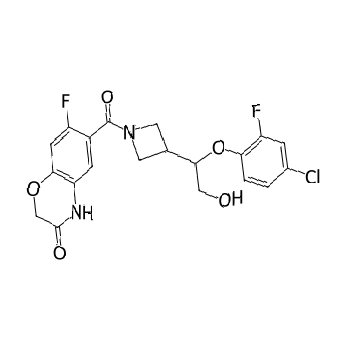 O=C1COc2cc(F)c(C(=O)N3CC(C(CO)Oc4ccc(Cl)cc4F)C3)cc2N1